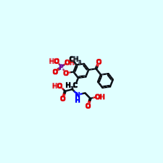 Cc1cc(C(=O)c2ccccc2)cc(C)c1OP(=O)(O)O.O=C(O)CNCC(=O)O